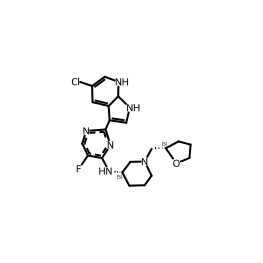 Fc1cnc(C2=CNC3NC=C(Cl)C=C23)nc1N[C@H]1CCCN(C[C@@H]2CCCO2)C1